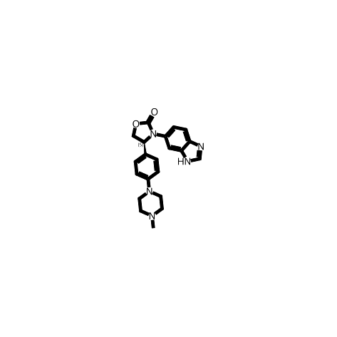 CN1CCN(c2ccc([C@H]3COC(=O)N3c3ccc4nc[nH]c4c3)cc2)CC1